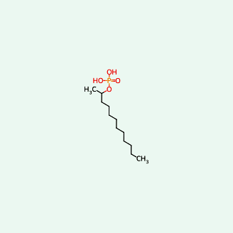 CCCCCCCCCCC(C)OP(=O)(O)O